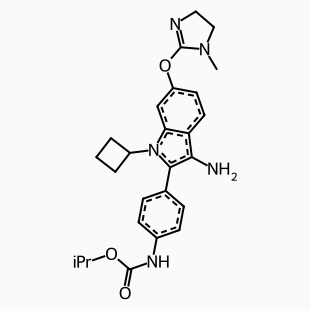 CC(C)OC(=O)Nc1ccc(-c2c(N)c3ccc(OC4=NCCN4C)cc3n2C2CCC2)cc1